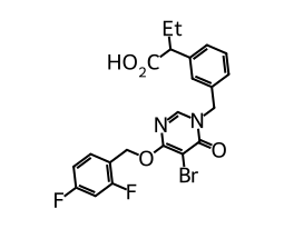 CCC(C(=O)O)c1cccc(Cn2cnc(OCc3ccc(F)cc3F)c(Br)c2=O)c1